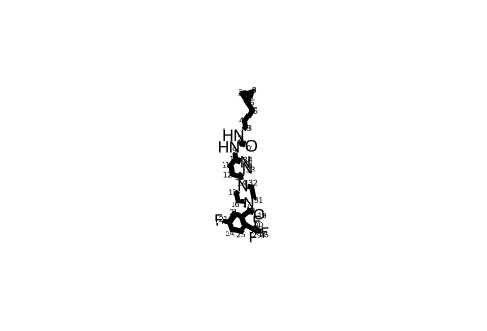 O=C(NCCCC1CC1)Nc1ccc(N2CCN(C(=O)c3cc(F)ccc3C(F)(F)F)CC2)nn1